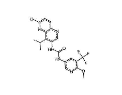 COc1ncc(NC(=O)Nc2cnc3ccc(Cl)nc3c2C(C)C)cc1C(F)(F)F